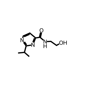 CC(C)c1nccc(C(=O)NCCO)n1